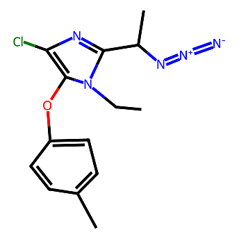 CCn1c(C(C)N=[N+]=[N-])nc(Cl)c1Oc1ccc(C)cc1